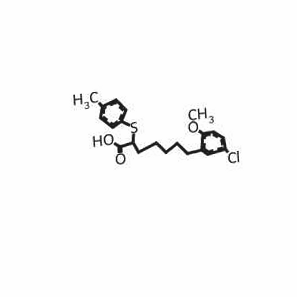 COc1ccc(Cl)cc1CCCCCC(Sc1ccc(C)cc1)C(=O)O